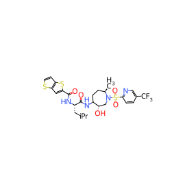 CC(C)C[C@H](NC(=O)c1cc2sccc2s1)C(=O)N[C@H]1CC[C@@H](C)N(S(=O)(=O)c2ccc(C(F)(F)F)cn2)C[C@@H]1O